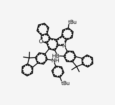 CC(C)(C)c1ccc(Nc2cc3c(cc2-c2c4c5c(c6cc(C(C)(C)C)ccc6n5-c5cc6c(cc5B4)C(C)(C)c4ccccc4-6)c4c2oc2ccccc24)C(C)(C)c2ccccc2-3)cc1